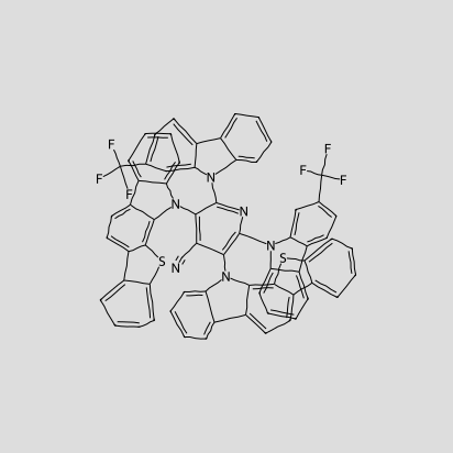 N#Cc1c(-n2c3ccccc3c3ccc4c5ccccc5sc4c32)c(-n2c3ccccc3c3ccc(C(F)(F)F)cc32)nc(-n2c3ccccc3c3ccc(C(F)(F)F)cc32)c1-n1c2ccccc2c2ccc3c4ccccc4sc3c21